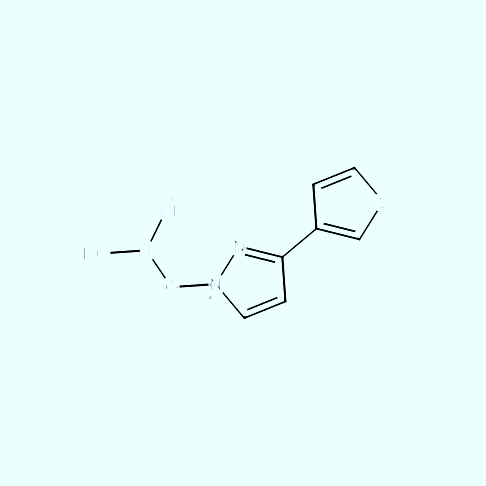 OB(O)On1ccc(-c2ccsc2)n1